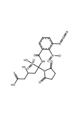 [N-]=[N+]=Nc1cccc(C(=O)NC(CC(S)CC(O)=S)(N2C(=O)CCC2=O)S(=O)(=O)O)c1[N+](=O)[O-]